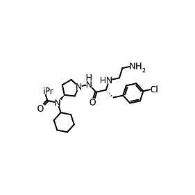 CC(C)C(=O)N(C1CCCCC1)[C@H]1CCN(NC(=O)[C@@H](Cc2ccc(Cl)cc2)NCCN)C1